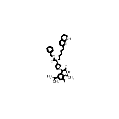 COc1c(F)cc(C(C)C)cc1C(C(=O)O)N1CC[C@@H](N(CCCCCc2ccc3c(n2)NCCC3)C(=O)OCc2ccccc2)C1